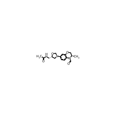 CC(=O)NC[C@H]1CN(c2ccc3c(c2)OC[C@@H](C)N3C=O)CO1